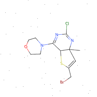 CC12C=C(CBr)SC1C(N1CCOCC1)=NC(Cl)=N2